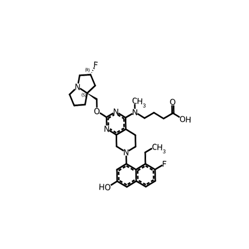 CCc1c(F)ccc2cc(O)cc(N3CCc4c(nc(OC[C@@]56CCCN5C[C@H](F)C6)nc4N(C)CCCC(=O)O)C3)c12